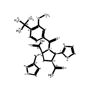 COc1cc(C(=O)N2[C@@H](c3nccs3)[C@@H](C(=O)O)C[C@@]2(Cc2ccsn2)C(=O)O)ccc1C(C)(C)C